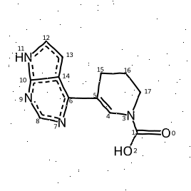 O=C(O)N1C=C(c2ncnc3[nH]ccc23)CCC1